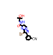 CC(C)(O)CNC(=O)c1ccn2nc(-c3cccc(C#N)c3)c(Br)c2n1